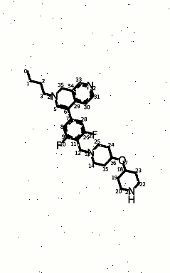 CCCCN1C=C(c2cc(F)c(CN3CCC(OC4CCNCC4)CC3)c(F)c2)c2ccncc2C1